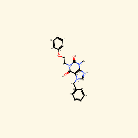 Cn1c(=O)n(CCOc2ccccc2)c(=O)c2c1ncn2Cc1ccccc1